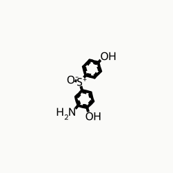 Nc1cc([S+]([O-])c2ccc(O)cc2)ccc1O